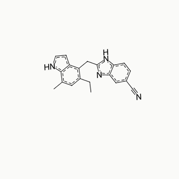 CCc1cc(C)c2[nH]ccc2c1Cc1nc2cc(C#N)ccc2[nH]1